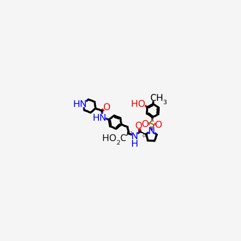 Cc1ccc(S(=O)(=O)N2CCC[C@H]2C(=O)N[C@@H](Cc2ccc(NC(=O)C3CCNCC3)cc2)C(=O)O)cc1O